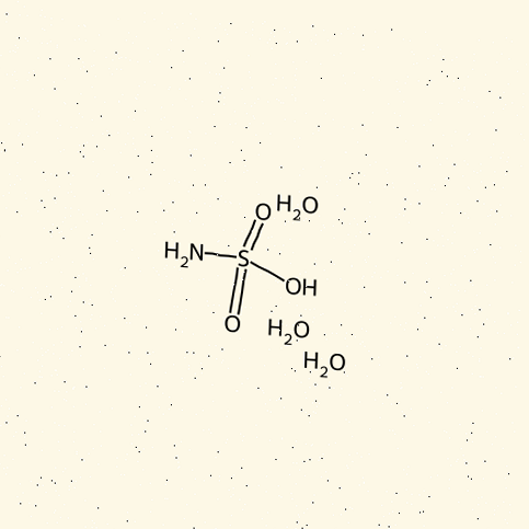 NS(=O)(=O)O.O.O.O